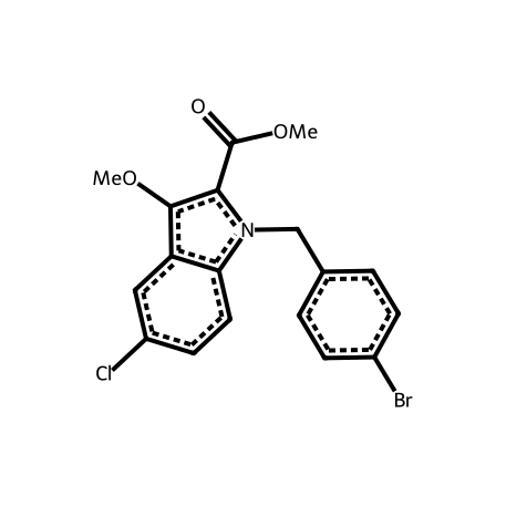 COC(=O)c1c(OC)c2cc(Cl)ccc2n1Cc1ccc(Br)cc1